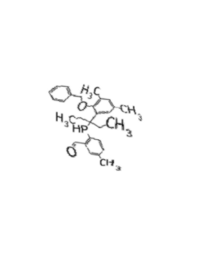 CCC(CC)(Pc1ccc(C)cc1C=O)c1cc(C)cc(C)c1OCc1ccccc1